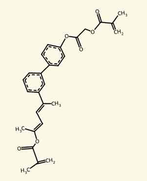 C=C(C)C(=O)OCC(=O)Oc1ccc(-c2cccc(/C(C)=C/C=C(\C)OC(=O)C(=C)C)c2)cc1